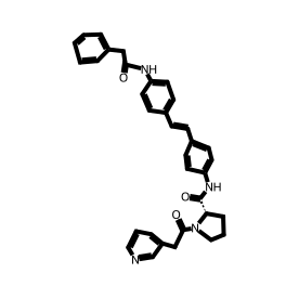 O=C(Cc1ccccc1)Nc1ccc(/C=C/c2ccc(NC(=O)[C@@H]3CCCN3C(=O)Cc3cccnc3)cc2)cc1